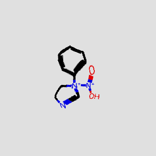 O=[N+](O)[N+]1(c2ccccc2)C=NCC1